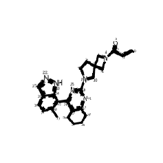 C=CC(=O)N1CC2(CCN(c3nc4c(c(-c5c(C)ccc6cn[nH]c56)n3)CCCC4)C2)C1